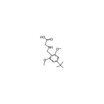 COc1cc(C(C)(C)C)cc(OC)c1CNCC(=O)O